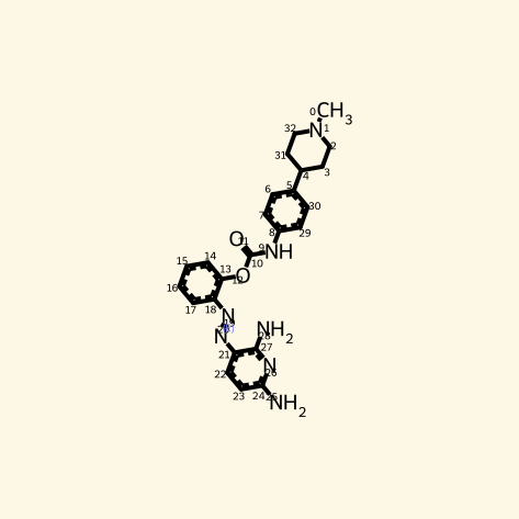 CN1CCC(c2ccc(NC(=O)Oc3ccccc3/N=N/c3ccc(N)nc3N)cc2)CC1